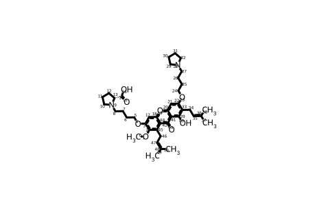 COc1c(OCCCCN2CCC[C@@H]2C(=O)O)cc2oc3cc(OCCCCN4CCCC4)c(CC=C(C)C)c(O)c3c(=O)c2c1CC=C(C)C